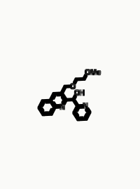 COCCOCc1cc2ccccc2nc1C(O)c1ccccn1